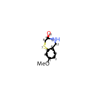 COc1ccc2c(c1)SCC(=O)NC2